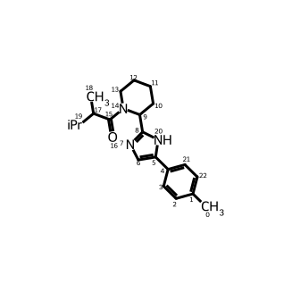 Cc1ccc(-c2cnc(C3CCCCN3C(=O)C(C)C(C)C)[nH]2)cc1